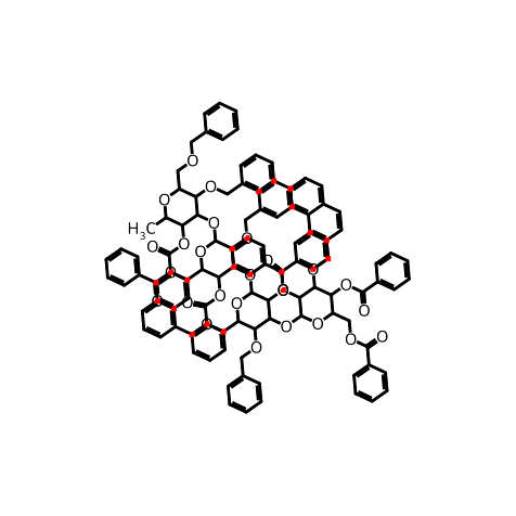 CC1OC(COCc2ccccc2)C(OCc2ccccc2)C(OC2OC(COC(=O)c3ccccc3)C(OC(=O)c3ccccc3)C(OC3OC(COCc4ccccc4)C(OCc4ccccc4)C(OC4OC(COC(=O)c5ccccc5)C(OC(=O)c5ccccc5)C(OCc5ccc6ccccc6c5)C4OCc4ccccc4)C3OC(=O)c3ccccc3)C2OCc2ccccc2)C1OC(=O)c1ccccc1